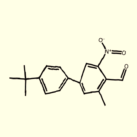 Cc1cc(-c2ccc(C(C)(C)C)cc2)cc([N+](=O)[O-])c1C=O